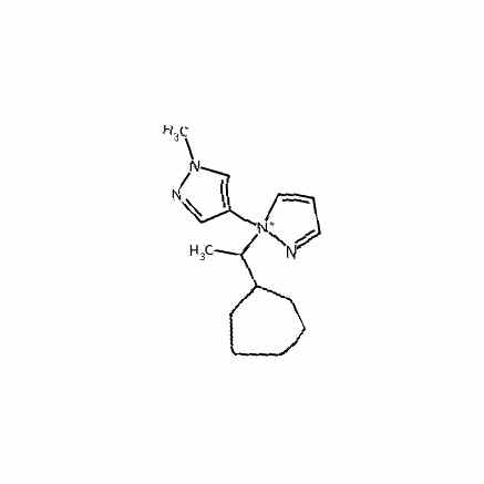 CC(C1CCCCC1)[N+]1(c2cnn(C)c2)C=CC=N1